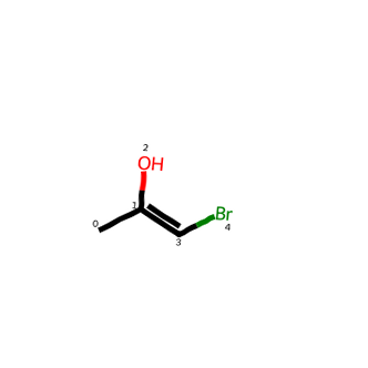 CC(O)=CBr